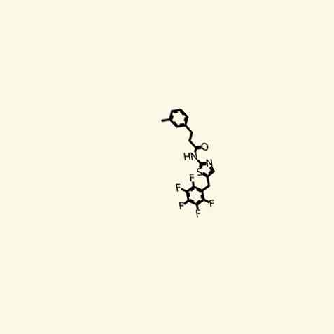 Cc1cccc(CCC(=O)Nc2ncc(Cc3c(F)c(F)c(F)c(F)c3F)s2)c1